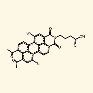 CC(=O)c1ccc2c3c(Br)cc4c5c(ccc(c6c(Br)cc(C(C)=O)c1c26)c53)C(=O)N(CCCC(=O)O)C4=O